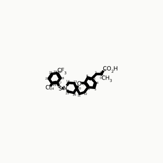 CC(Cc1ccc2c(c1)OC1(CC2)CCN(Sc2cc(C(F)(F)F)ccc2Cl)CC1)C(=O)O